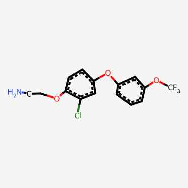 NCCOc1ccc(Oc2cccc(OC(F)(F)F)c2)cc1Cl